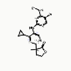 CCNc1nc(NC(=C/N)/C(=N\C[C@@]2(C)CCOC2=O)C2CC2)ncc1Br